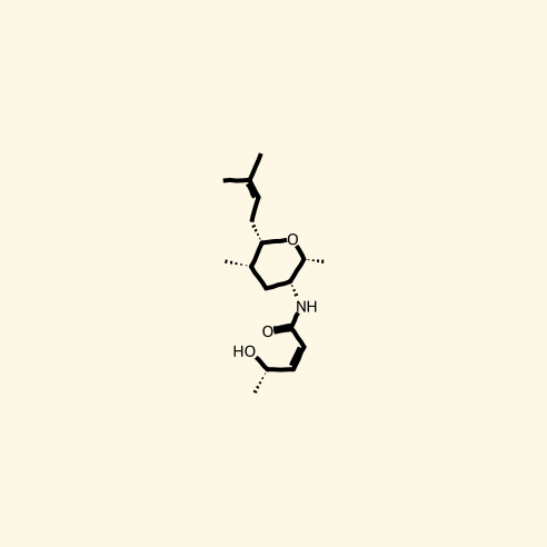 CC(C)=CC[C@@H]1O[C@H](C)[C@H](NC(=O)/C=C\[C@H](C)O)C[C@@H]1C